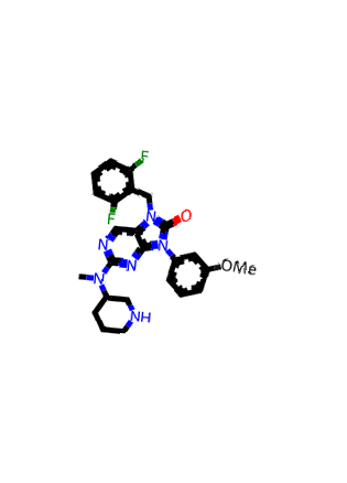 COc1cccc(-n2c(=O)n(Cc3c(F)cccc3F)c3cnc(N(C)C4CCCNC4)nc32)c1